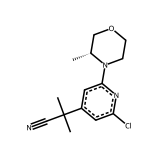 C[C@@H]1COCCN1c1cc(C(C)(C)C#N)cc(Cl)n1